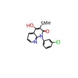 CSc1c(O)c2cccnc2n(-c2cccc(Cl)c2)c1=O